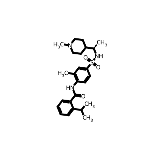 Cc1cc(S(=O)(=O)N[C@H](C)C2CCN(C)CC2)ccc1NC(=O)c1ccccc1C(C)C